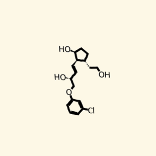 OCC[C@H]1CC[C@H](O)[C@@H]1/C=C/[C@@H](O)COc1cccc(Cl)c1